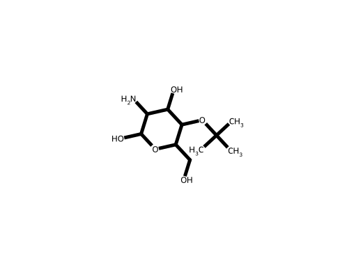 CC(C)(C)OC1C(CO)OC(O)C(N)C1O